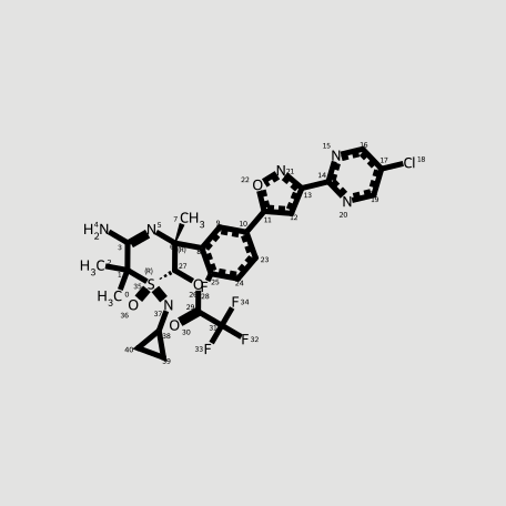 CC1(C)C(N)=N[C@](C)(c2cc(-c3cc(-c4ncc(Cl)cn4)no3)ccc2F)C(OC(=O)C(F)(F)F)[S@@]1(=O)=NC1CC1